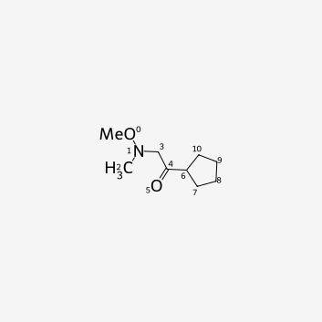 CON(C)CC(=O)C1CCCC1